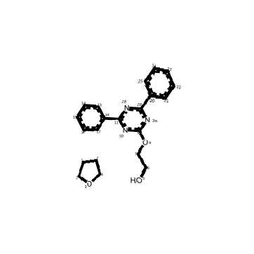 C1CCOC1.OCCOc1nc(-c2ccccc2)nc(-c2ccccc2)n1